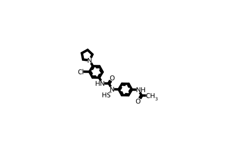 CC(=O)Nc1ccc(N(S)C(=O)Nc2ccc(N3CCCC3)c(Cl)c2)cc1